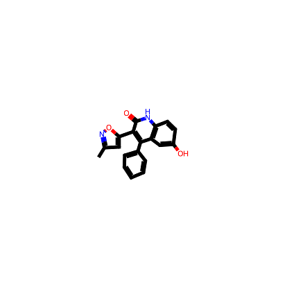 Cc1cc(-c2c(-c3ccccc3)c3cc(O)ccc3[nH]c2=O)on1